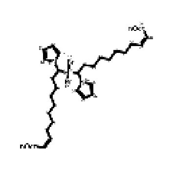 CCCCCCCC/C=C\CCCCCCC[CH](n1cccc1)[Hf]([Br])([Br])[CH](CCCCCCC/C=C\CCCCCCCC)n1cccc1